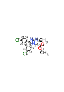 CCOC(=O)c1cn2c(-c3ccc(Cl)cc3)c(-c3ccc(Cl)cc3)nc2nc1C